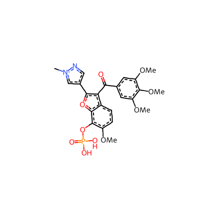 COc1cc(C(=O)c2c(-c3cnn(C)c3)oc3c(OP(=O)(O)O)c(OC)ccc23)cc(OC)c1OC